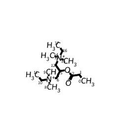 CCC(=O)OC(C[N+](C)(C)CC)C[N+](C)(C)CC